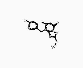 Cc1cc(=O)n2nc(SC(F)(F)F)nc2n1Cc1ccc(Cl)nc1